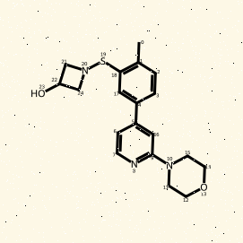 Cc1ccc(-c2ccnc(N3CCOCC3)c2)cc1SN1CC(O)C1